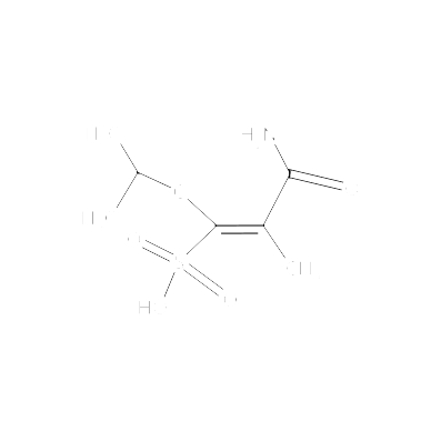 CC(C(N)=O)=C(CC(C)C)S(=O)(=O)O